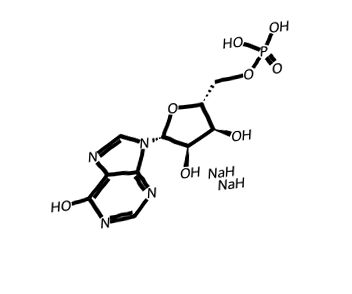 O=P(O)(O)OC[C@H]1O[C@@H](n2cnc3c(O)ncnc32)[C@H](O)[C@@H]1O.[NaH].[NaH]